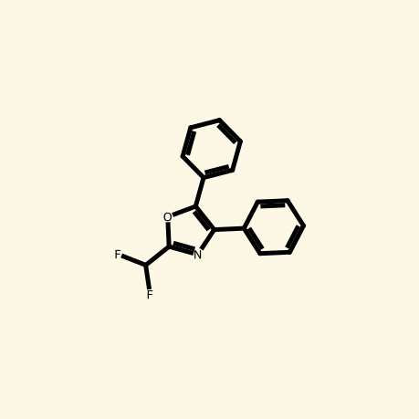 FC(F)c1nc(-c2ccccc2)c(-c2ccccc2)o1